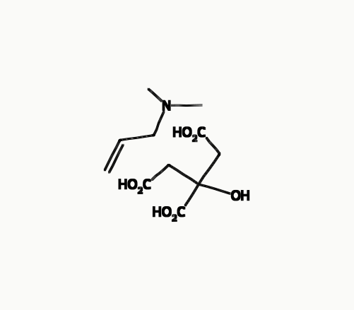 C=CCN(C)C.O=C(O)CC(O)(CC(=O)O)C(=O)O